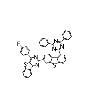 Fc1ccc(-c2nc(-c3ccc4c(c3)sc3cccc(-c5nc(-c6ccccc6)nc(-c6ccccc6)n5)c34)nc3c2sc2ccccc23)cc1